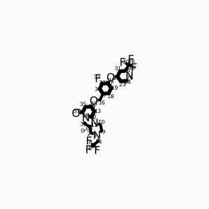 C[C@@]12CN(CC(F)(F)F)CCN1c1cc(OCc3ccc(Oc4ccnc(C(F)(F)F)c4)c(F)c3)cc(=O)n1C2